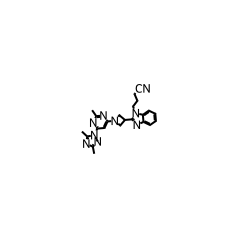 Cc1nc(N2CC(c3nc4ccccc4n3CCCC#N)C2)cc(-n2nc(C)nc2C)n1